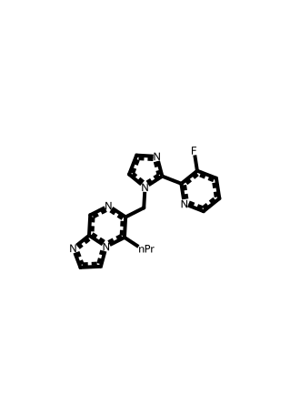 CCCc1c(Cn2ccnc2-c2ncccc2F)ncc2nccn12